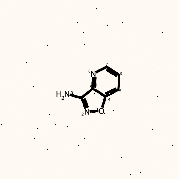 Nc1noc2cccnc12